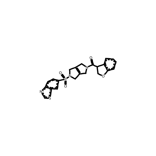 O=C(C1COc2ccccc21)N1CC2=C(C1)CN(S(=O)(=O)c1ccc3ncsc3c1)C2